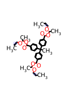 C/C=C\OC(C)OC(=O)c1ccc(C(C)(c2ccc(C(=O)OC(C)O/C=C\C)cc2)c2ccc(C(=O)OC(C)O/C=C\C)cc2)cc1